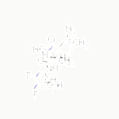 C=C(/C=C(F)\C(=C\F)C(=O)O)NC(=O)C(=C)/C(O)=C(/Cl)C1=CC(C)(C)CCC1(C)C